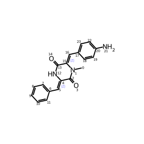 Cn1c(=O)/c(=C/c2ccccc2)[nH]c(=O)/c1=C/c1ccc(N)cc1